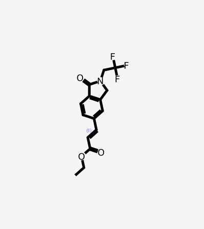 CCOC(=O)/C=C/c1ccc2c(c1)CN(CC(F)(F)F)C2=O